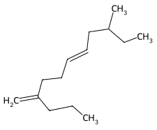 C=C(CCC)CCC=CCC(C)CC